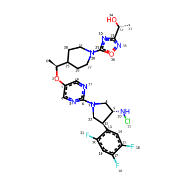 C[C@H](Oc1cnc(N2C[C@H](NCl)[C@@H](c3cc(F)c(F)cc3F)C2)nc1)C1CCN(c2nc([C@@H](C)O)no2)CC1